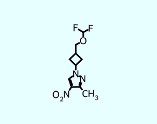 Cc1nn(C2CC(COC(F)F)C2)cc1[N+](=O)[O-]